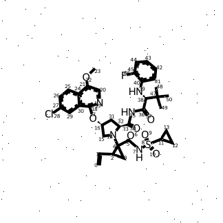 C=CC1CC1(C(=O)NS(=O)(=O)C1CC1)N1C[C@H](Oc2ncc(OC)c3ccc(Cl)cc23)C[C@H]1C(=O)NC(=O)[C@H](Nc1ccccc1F)C(C)(C)C